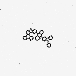 c1ccc(-n2c3ccccc3c3cc(-c4c5ccccc5c(-c5ccc6sc7ccc8c9ccccc9c9ccccc9c8c7c6c5)c5ccccc45)ccc32)cc1